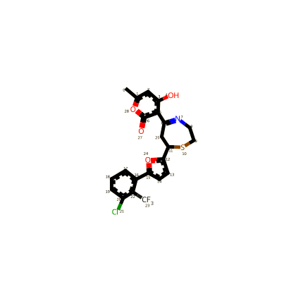 Cc1cc(O)c(C2=NCCSC(c3ccc(-c4cccc(Cl)c4C(F)(F)F)o3)C2)c(=O)o1